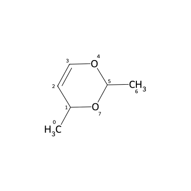 CC1C=COC(C)O1